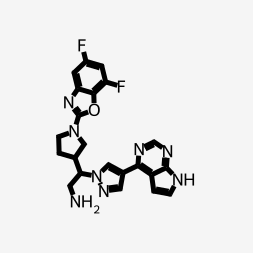 NCC(C1CCN(c2nc3cc(F)cc(F)c3o2)C1)n1cc(-c2ncnc3[nH]ccc23)cn1